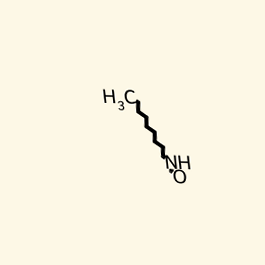 CCCCCCCCCNC=O